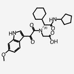 COc1ccc2c(C(=O)C(=O)N(CC(=O)O)[C@@H](C(=O)NC3CCCC3)C3CCCCC3)c[nH]c2c1